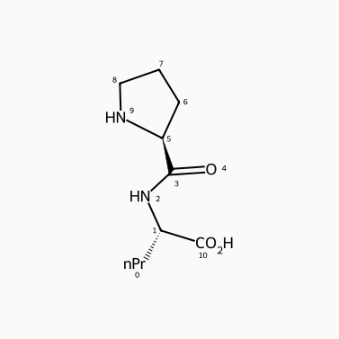 CCC[C@H](NC(=O)[C@@H]1CCCN1)C(=O)O